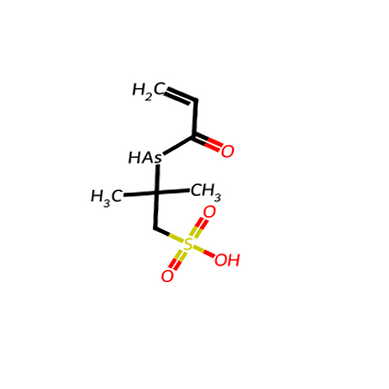 C=CC(=O)[AsH]C(C)(C)CS(=O)(=O)O